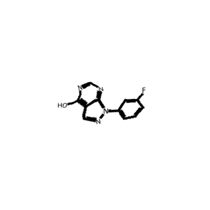 Oc1ncnc2c1cnn2-c1cccc(F)c1